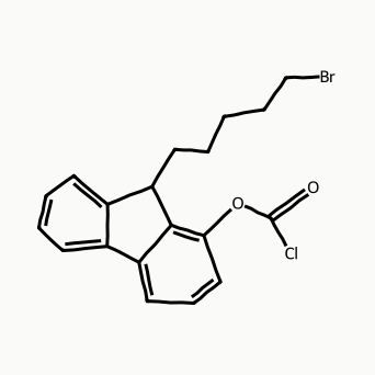 O=C(Cl)Oc1cccc2c1C(CCCCCBr)c1ccccc1-2